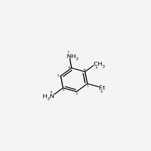 CCc1cc(N)cc(N)c1C